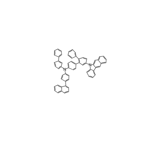 c1ccc(-c2cccc(N(c3ccc(-c4cc(-n5c6ccccc6c6cc7ccccc7cc65)ccc4-c4ccccc4)cc3)c3ccc(-c4cccc5ccccc45)cc3)c2)cc1